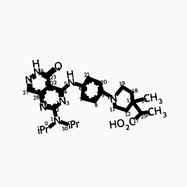 CC(C)N(c1nc(Nc2ccc(N3CCC(C)(C(C)C(=O)O)CC3)cc2)c2c(=O)[nH]ncc2n1)C(C)C